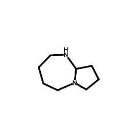 C1CCN2CCCC2NC1